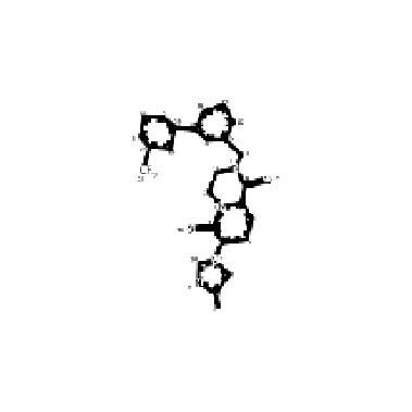 Cc1cn(-c2ccc3n(c2=O)CCN(Cc2cccc(-c4cccc(C(F)(F)F)c4)c2)C3=O)cn1